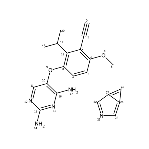 C#Cc1c(OC)ccc(Oc2cnc(N)nc2N)c1C(C)C.c1ncc2cc1-2